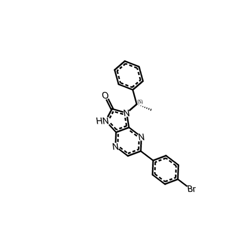 C[C@@H](c1ccccc1)n1c(=O)[nH]c2ncc(-c3ccc(Br)cc3)nc21